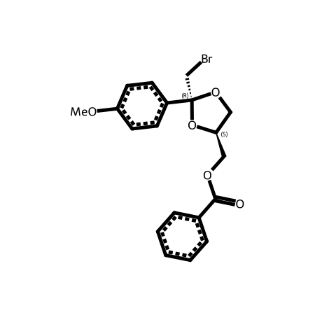 COc1ccc([C@@]2(CBr)OC[C@@H](COC(=O)c3ccccc3)O2)cc1